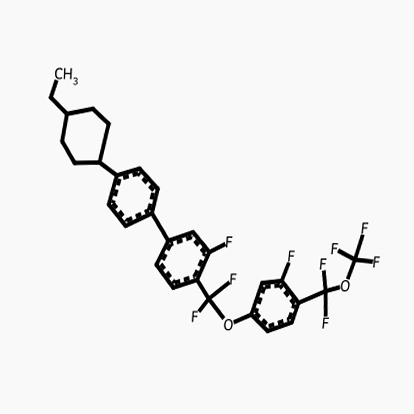 CCC1CCC(c2ccc(-c3ccc(C(F)(F)Oc4ccc(C(F)(F)OC(F)(F)F)c(F)c4)c(F)c3)cc2)CC1